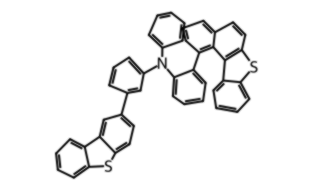 c1ccc(N(c2cccc(-c3ccc4sc5ccccc5c4c3)c2)c2ccccc2-c2cccc3ccc4sc5ccccc5c4c23)cc1